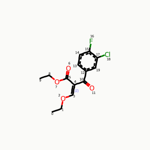 CCO/C=C(\C(=O)OCC)C(=O)c1ccc(F)c(Cl)c1